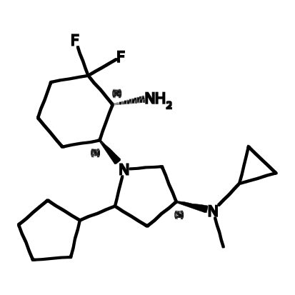 CN(C1CC1)[C@H]1CC(C2CCCC2)N([C@H]2CCCC(F)(F)[C@@H]2N)C1